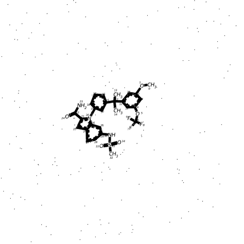 COc1cc(OC(F)(F)F)cc(C(C)(C)c2cccc(-n3c(C(N)=O)cc4ccc(NS(C)(=O)=O)cc43)c2)c1